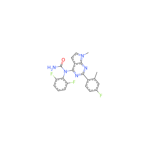 Cc1cc(F)ccc1-c1nc(N(C(N)=O)c2c(F)cccc2F)c2ccn(C)c2n1